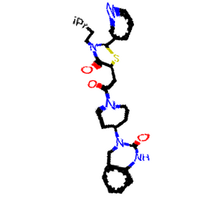 CC(C)CCN1C(=O)C(CC(=O)N2CCC(N3Cc4ccccc4NC3=O)CC2)SC1c1cccnc1